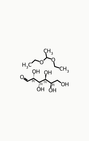 CCOC(C)OCC.O=C[C@H](O)[C@@H](O)[C@@H](O)[C@H](O)CO